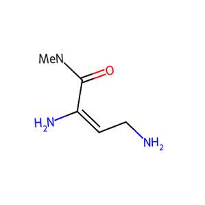 CNC(=O)/C(N)=C\CN